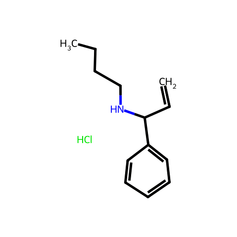 C=CC(NCCCC)c1ccccc1.Cl